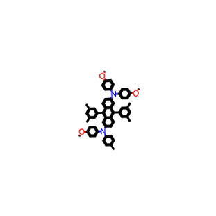 COc1ccc(N(c2ccc(C)cc2)c2ccc3c(-c4cc(C)cc(C)c4)c4cc(N(c5ccc(OC)cc5)c5ccc(OC)cc5)ccc4c(-c4cc(C)cc(C)c4)c3c2)cc1